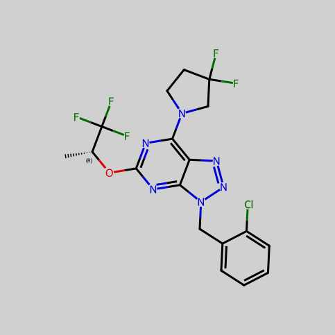 C[C@@H](Oc1nc(N2CCC(F)(F)C2)c2nnn(Cc3ccccc3Cl)c2n1)C(F)(F)F